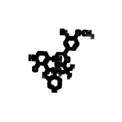 COc1ccc(C(CNc2cc[nH]c(=O)c2-c2nc3cnccc3[nH]2)OC(=O)C(F)(F)F)cc1Br